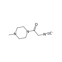 [C-]#[N+]CC(=O)N1CCN(C)CC1